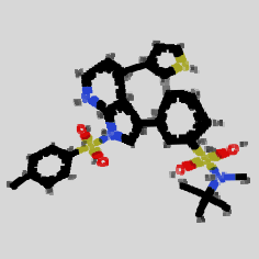 Cc1ccc(S(=O)(=O)n2cc(-c3cccc(S(=O)(=O)N(C)C(C)(C)C)c3)c3c(-c4ccsc4)ccnc32)cc1